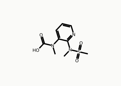 CN(C(=O)O)c1cccnc1N(C)S(C)(=O)=O